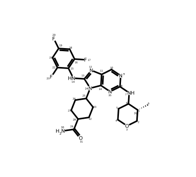 C[C@@H]1COCCC1Nc1ncc2nc(Nc3c(F)cc(F)cc3F)n(C3CCC(C(N)=O)CC3)c2n1